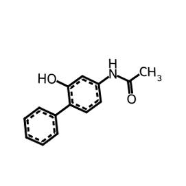 CC(=O)Nc1ccc(-c2ccccc2)c(O)c1